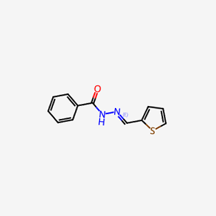 O=C(N/N=C/c1cccs1)c1ccccc1